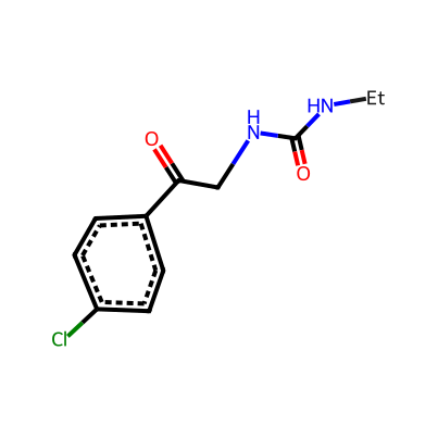 CCNC(=O)NCC(=O)c1ccc(Cl)cc1